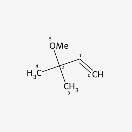 [CH]=CC(C)(C)OC